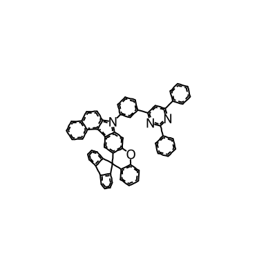 c1ccc(-c2cc(-c3cccc(-n4c5cc6c(cc5c5c7ccccc7ccc54)C4(c5ccccc5O6)c5ccccc5-c5ccccc54)c3)nc(-c3ccccc3)n2)cc1